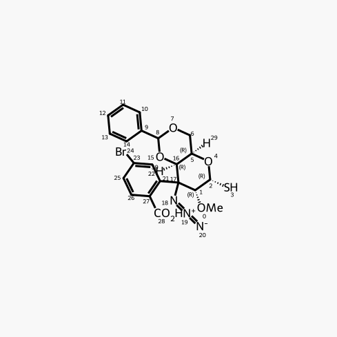 CO[C@H]1[C@@H](S)O[C@@H]2COC(c3ccccc3)O[C@@H]2C1(N=[N+]=[N-])c1cc(Br)ccc1C(=O)O